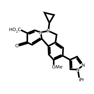 COc1cc2c(cc1-c1cnn(C(C)C)c1)CN(C1CC1)n1cc(C(=O)O)c(=O)cc1-2